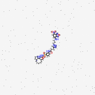 C=C1CCCC/C=C2/CCC/C2=C/1NC(=O)NS(=O)(=O)c1cccc(NC(=O)CCc2cn(CCCNc3ccc([N+](=O)[O-])c4nonc34)nn2)c1